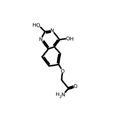 NC(=O)COc1ccc2nc(O)nc(O)c2c1